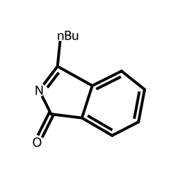 CCCCC1=NC(=O)c2ccccc21